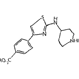 O=C(O)c1ccc(-c2csc(NC3CCNCC3)n2)cc1